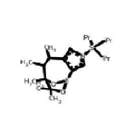 CC1c2cn([Si](C(C)C)(C(C)C)C(C)C)cc2B2OC(C)(C)C(C)(O2)C1C